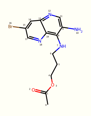 CC(=O)OCCCNc1c(N)cnc2cc(Br)cnc12